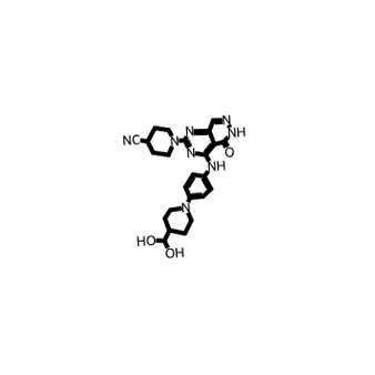 N#CC1CCN(c2nc(Nc3ccc(N4CCC(C(O)O)CC4)cc3)c3c(=O)[nH]ncc3n2)CC1